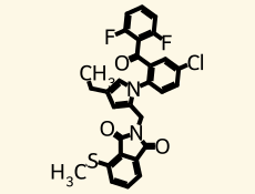 CCc1cc(CN2C(=O)c3cccc(SC)c3C2=O)n(-c2ccc(Cl)cc2C(=O)c2c(F)cccc2F)c1